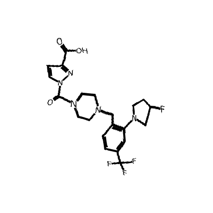 O=C(O)c1ccn(C(=O)N2CCN(Cc3ccc(C(F)(F)F)cc3N3CCC(F)C3)CC2)n1